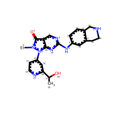 CCn1c(=O)c2cnc(Nc3ccc4c(c3)CCNC4)nc2n1-c1ccnc(C(C)O)c1